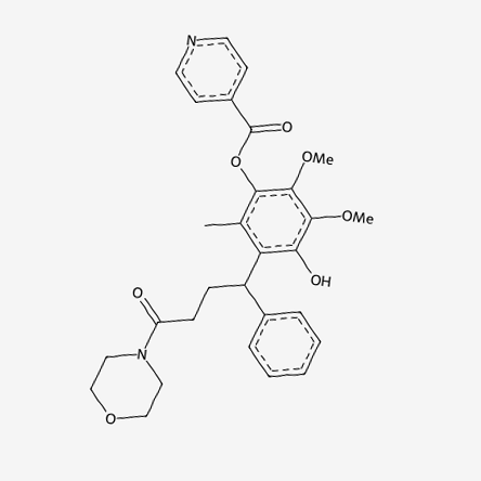 COc1c(O)c(C(CCC(=O)N2CCOCC2)c2ccccc2)c(C)c(OC(=O)c2ccncc2)c1OC